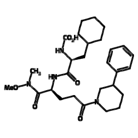 CON(C)C(=O)[C@H](CCC(=O)N1CCCC(c2ccccc2)C1)NC(=O)[C@H](CC1CCCCC1)NC(=O)O